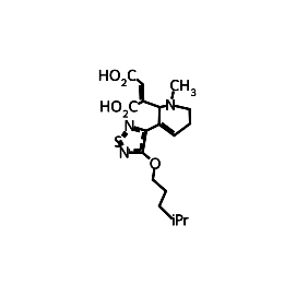 CC(C)CCCOc1nsnc1C1=CCCN(C)C1C(=CC(=O)O)C(=O)O